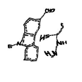 CCn1c2ccccc2c2cc(C=O)ccc21.NNC(=S)S